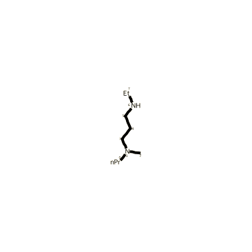 CCCN(C)CCCNCC